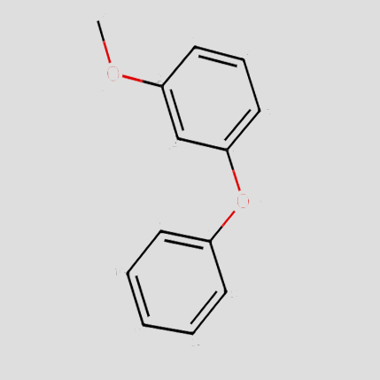 COc1cccc(Oc2ccccc2)c1